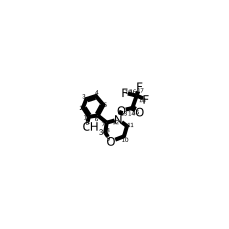 Cc1ccccc1C1COCCN1OC(=O)C(F)(F)F